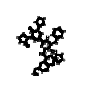 CC(C)(C)Cc1ccc2c(c1)[C@@H](NC[C@@H](O)[C@H](Cc1ccccc1)NC(=O)c1cc(N3CCCC3=O)c(=O)n(C3CCCC3)c1)CC1(CCCC1)O2